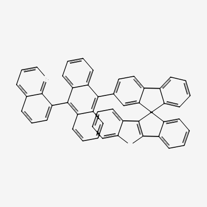 c1ccc2c(c1)-c1ccc(-c3c4ccccc4c(-c4cccc5cccnc45)c4ccccc34)cc1C21c2ccccc2-c2sc3ccccc3c21